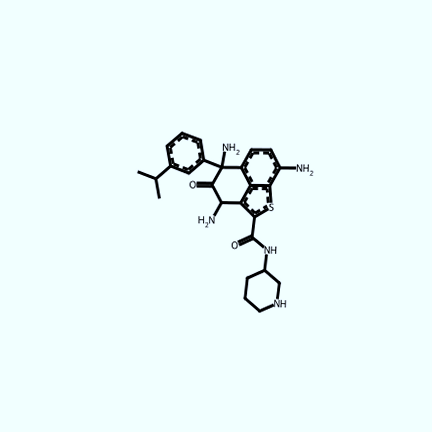 CC(C)c1cccc(C2(N)C(=O)C(N)c3c(C(=O)NC4CCCNC4)sc4c(N)ccc2c34)c1